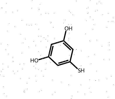 Oc1cc(O)cc(S)c1